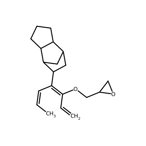 C=C/C(OCC1CO1)=C(\C=C/C)C1CC2CC1C1CCCC21